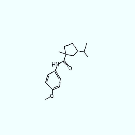 COc1ccc(NC(=O)C2(C)CCC(C(C)C)C2)cc1